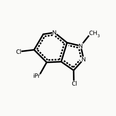 CC(C)c1c(Cl)cnc2c1c(Cl)nn2C